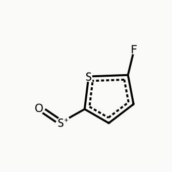 O=[S+]c1ccc(F)s1